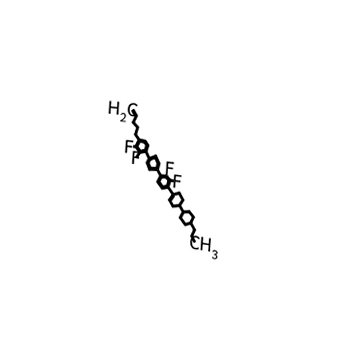 C=CCCCc1ccc(-c2ccc(-c3ccc(C4=CCC(C5CCC(CCC)CC5)CC4)c(F)c3F)cc2)c(F)c1F